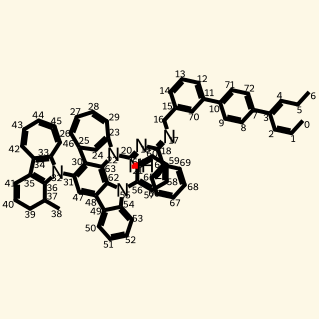 C/C=C\C(=C/CC)c1ccc(-c2cccc(C/N=C(\N=C(/N)N3C4=CC(C=CC=C4)c4c(-n5c6c(c7c5C(C)CC=C7)C=CC=C=C6)cc5c6ccccc6n(-c6ccccc6)c5c43)c3ccccc3)c2)cc1